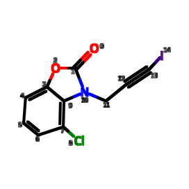 O=c1oc2cccc(Cl)c2n1CC#CI